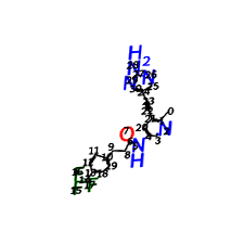 Cc1ncc(NC(=O)CCc2ccc(C(F)(F)F)cc2)cc1C#Cc1cnc(N)nc1